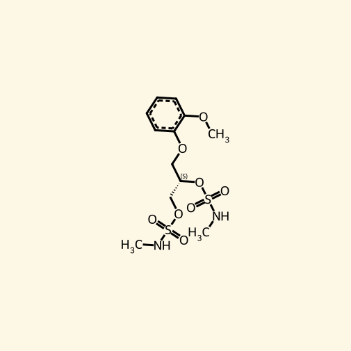 CNS(=O)(=O)OC[C@H](COc1ccccc1OC)OS(=O)(=O)NC